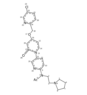 CC(=O)N(CCN1CCCC1)c1ccc(-n2ccc(OCc3ccc(Cl)cn3)cc2=O)cn1